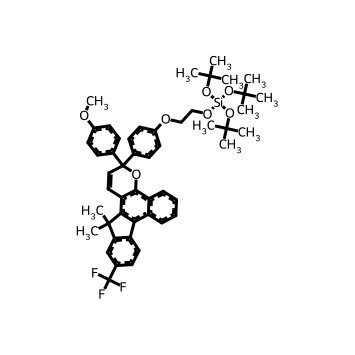 COc1ccc(C2(c3ccc(OCCO[Si](OC(C)(C)C)(OC(C)(C)C)OC(C)(C)C)cc3)C=Cc3c4c(c5ccccc5c3O2)-c2ccc(C(F)(F)F)cc2C4(C)C)cc1